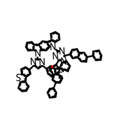 c1ccc(-c2ccc3cc(-c4nc(-c5ccc6cc(-c7ccccc7)ccc6c5)nc(-n5c6ccccc6c6cc7c8ccccc8n(-c8nc(-c9ccc%10sc%11ccccc%11c%10c9)cc(-c9ccc%10sc%11ccccc%11c%10c9)n8)c7cc65)n4)ccc3c2)cc1